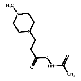 CC(=O)NOC(=O)CCN1CCN(C)CC1